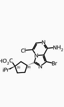 CC(C)[C@]1(C(=O)O)CC[C@@H](c2nc(Br)c3c(N)ncc(Cl)n23)C1